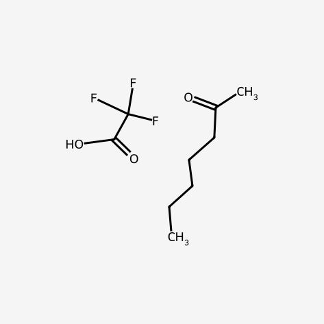 CCCCCC(C)=O.O=C(O)C(F)(F)F